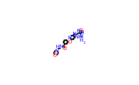 Nc1nonc1-c1nc2cnc(Oc3cccc(C(=O)NCCN4CCOCC4)c3)cc2[nH]1